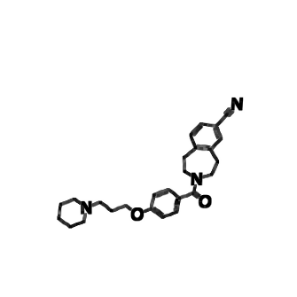 N#Cc1ccc2c(c1)CCN(C(=O)c1ccc(OCCCN3CCCCC3)cc1)CC2